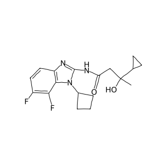 CC(O)(CC(=O)Nc1nc2ccc(F)c(F)c2n1C1CCC1)C1CC1